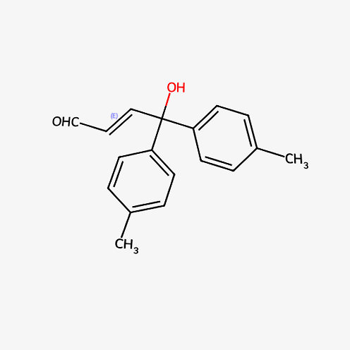 Cc1ccc(C(O)(/C=C/C=O)c2ccc(C)cc2)cc1